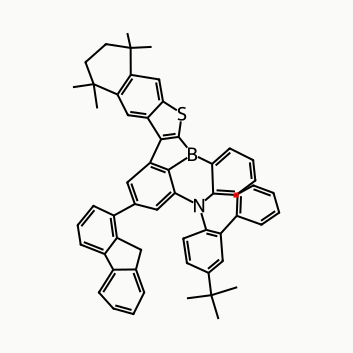 CC(C)(C)c1ccc(N2c3ccccc3B3c4sc5cc6c(cc5c4-c4cc(-c5cccc7c5Cc5ccccc5-7)cc2c43)C(C)(C)CCC6(C)C)c(-c2ccccc2)c1